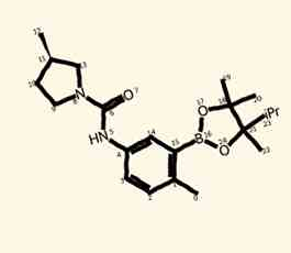 Cc1ccc(NC(=O)N2CC[C@@H](C)C2)cc1B1OC(C)(C)C(C)(C(C)C)O1